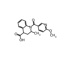 COc1ccc(C(=O)N2c3ccccc3C(C(=O)O)CC2C)cn1